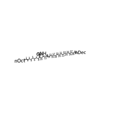 CCCCCCCCC=CCCCCCCC(CCCCCCCCCCCCCCCCCCCCCCCCCCCCCC)C(N)=O